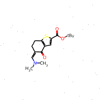 CN(C)/C=C1/CCc2sc(C(=O)OC(C)(C)C)cc2C1=O